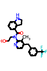 Cc1c(Cc2cccc(C(F)(F)F)c2)ccnc1N(CCO)C(=O)c1cccc2c1CCN2